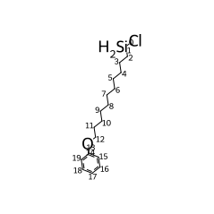 Cl[SiH2]CCCCCCCCCCCOc1ccccc1